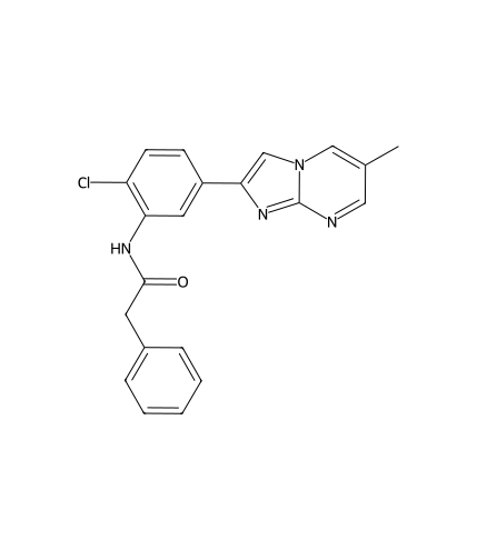 Cc1cnc2nc(-c3ccc(Cl)c(NC(=O)Cc4ccccc4)c3)cn2c1